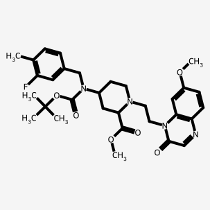 COC(=O)C1CC(N(Cc2ccc(C)c(F)c2)C(=O)OC(C)(C)C)CCN1CCn1c(=O)cnc2ccc(OC)cc21